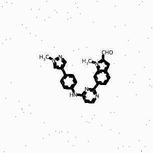 Cn1cc(-c2ccc(Nc3ccnc(-c4ccc5cc(C=O)n(C)c5c4)n3)cc2)cn1